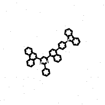 c1ccc(-c2nc(-c3ccc(-c4ccc(-n5c6ccccc6c6ccccc65)cc4)c4ccccc34)cc(-c3cc4ccccc4c4ccccc34)n2)cc1